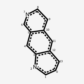 c1cnc2cc3cnccc3cc2c1